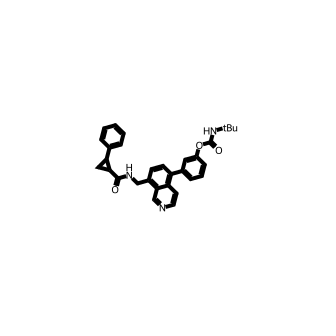 CC(C)(C)NC(=O)Oc1cccc(-c2ccc(CNC(=O)C3CC3c3ccccc3)c3cnccc23)c1